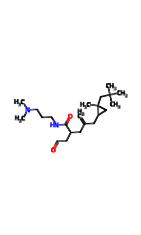 C=C(CC(CC=O)C(=O)NCCCN(C)C)CC1CC1(C)CC(C)(C)C